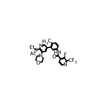 CCN(C(C)=O)c1ncc(-c2cc(NC(=O)c3ccnc(C(F)(F)F)c3F)ccc2C)cc1N1CCOCC1